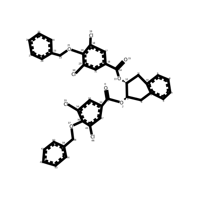 O=C(O[C@H]1Cc2ccccc2C[C@H]1OC(=O)c1cc(Cl)c(OCc2ccccc2)c(Cl)c1)c1cc(Cl)c(OCc2ccccc2)c(Cl)c1